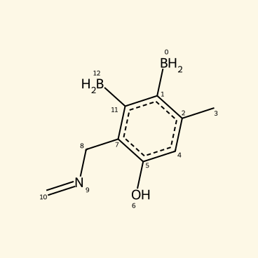 Bc1c(C)cc(O)c(CN=C)c1B